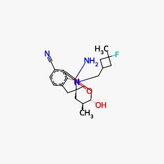 C[C@H]1C[C@@]2(CC[C@@H]1O)Cc1ccc(C#N)cc1[C@]21N=C(N)N(CC2CC(C)(F)C2)C1=O